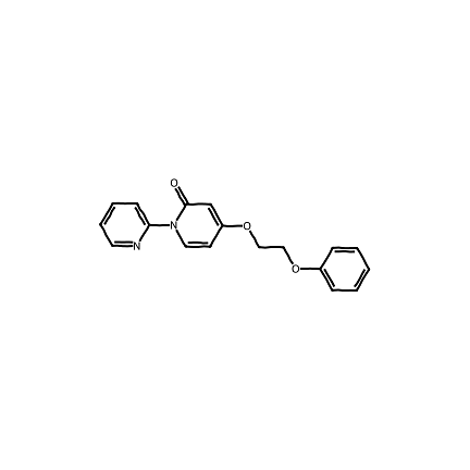 O=c1cc(OCCOc2ccccc2)ccn1-c1ccccn1